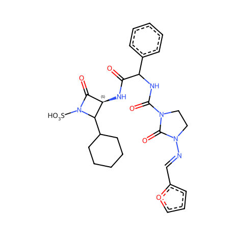 O=C(N[C@@H]1C(=O)N(S(=O)(=O)O)C1C1CCCCC1)C(NC(=O)N1CCN(N=Cc2ccco2)C1=O)c1ccccc1